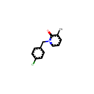 N#Cc1cccn(Cc2ccc(Cl)cc2)c1=O